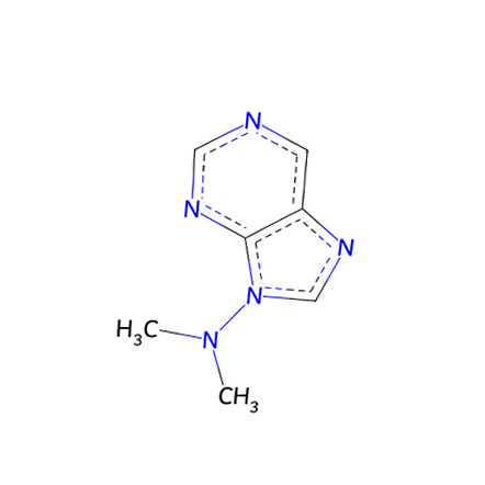 CN(C)n1cnc2cncnc21